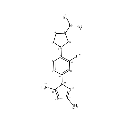 CCN(CC)C1CCN(c2ccc(-n3nc(N)nc3N)cc2F)C1